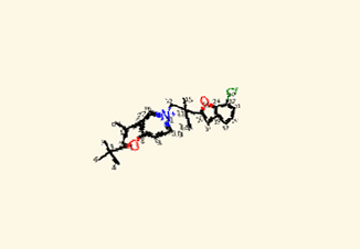 Cc1c(C(C)(C)C)oc2cc[n+](CC(C)(C)c3cc4cccc(Cl)c4o3)cc12